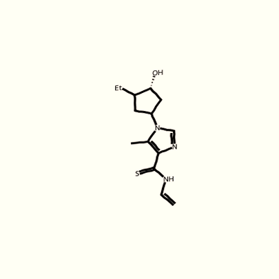 C=CNC(=S)c1ncn(C2CC(CC)[C@H](O)C2)c1C